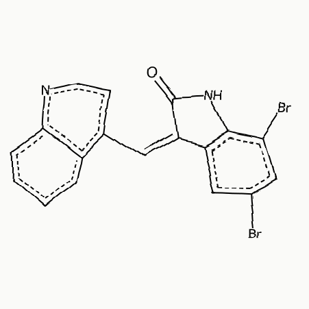 O=C1Nc2c(Br)cc(Br)cc2C1=Cc1ccnc2ccccc12